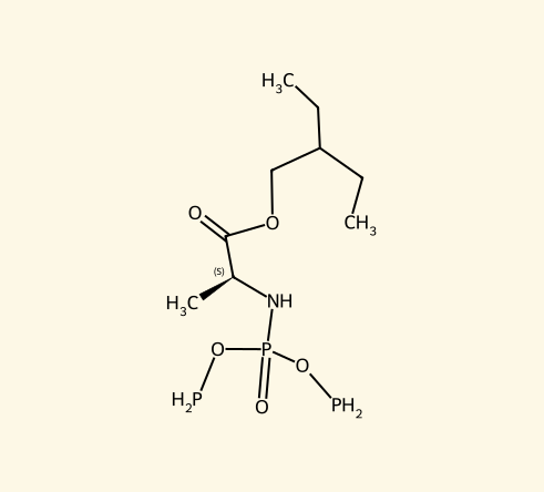 CCC(CC)COC(=O)[C@H](C)NP(=O)(OP)OP